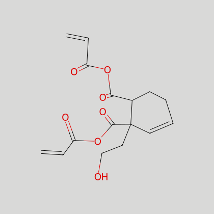 C=CC(=O)OC(=O)C1CCC=CC1(CCO)C(=O)OC(=O)C=C